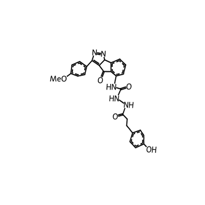 COc1ccc(C2=C3C(=O)c4c(NC(=O)NNC(=O)CCc5ccc(O)cc5)cccc4C3N=N2)cc1